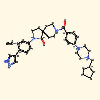 COc1cc(N2CCC3(CCN(C(=O)c4ccc(N5CCN(CC6CCCC6)CC5)cc4)CC3)C2=O)ccc1-c1cn[nH]c1